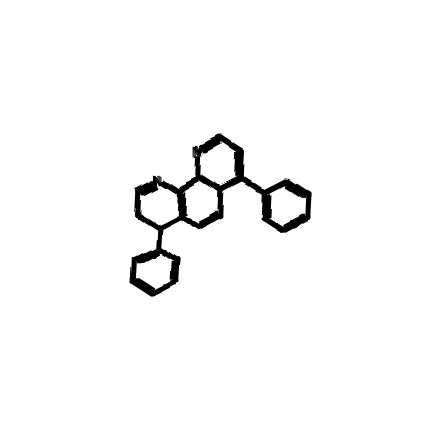 C1=CC2C(c3ccccc3)=CC=NC2C2=C1C(c1ccccc1)CC=N2